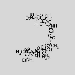 CCN[C@H]1C[C@H](C)S(=O)(=O)c2sc(S(=O)(=O)NC(=O)C(C)(C)C(C)OC(=O)C(C)(C)CCC(=O)Oc3ccc4c(c3)/C(=C/c3[nH]c(C)c(C(=O)NCCN(CC)CC)c3C)C(=O)N4)cc21